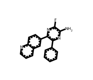 Nc1nc(-c2ccccc2)c(-c2ccc3ncccc3c2)nc1F